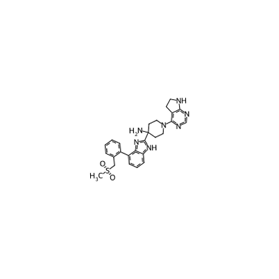 CS(=O)(=O)Cc1ccccc1-c1cccc2[nH]c(C3(N)CCN(c4ncnc5c4CCN5)CC3)nc12